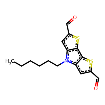 CCCCCCn1c2cc(C=O)sc2c2sc(C=O)cc21